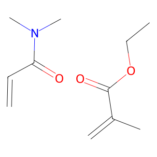 C=C(C)C(=O)OCC.C=CC(=O)N(C)C